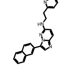 c1ccc(CCNc2ccc3ncc(-c4ccc5ccccc5c4)n3n2)nc1